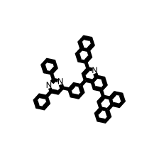 c1ccc(-c2cc(-c3cccc(-c4cc(-c5ccc6ccccc6c5)nc5ccc(-c6cc7ccccc7c7ccccc67)cc45)c3)nc(-c3ccccc3)n2)cc1